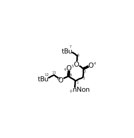 CCCCCCCCCC(CC(=O)OCC(C)(C)C)C(=O)OCC(C)(C)C